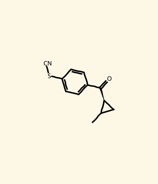 CC1C[C@@H]1C(=O)c1ccc(SC#N)cc1